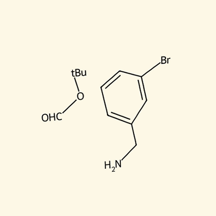 CC(C)(C)OC=O.NCc1cccc(Br)c1